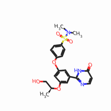 C[C@@H](CO)Oc1cc(Oc2ccc(S(=O)(=O)N(C)C)cc2)cc(-c2nccc(=O)[nH]2)c1